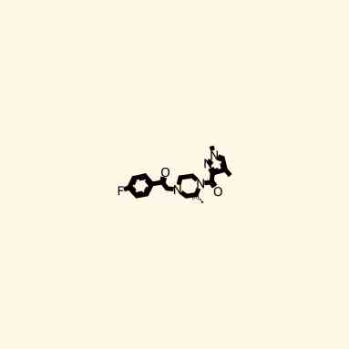 Cc1cn(C)nc1C(=O)N1CCN(CC(=O)c2ccc(F)cc2)C[C@H]1C